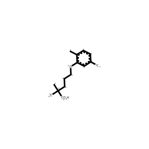 Cc1ccc([3CH3])cc1OCCCC(C)([3CH3])C(=O)O